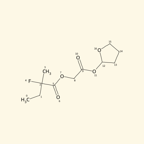 CCC(C)(F)C(=O)OCC(=O)OC1CCCO1